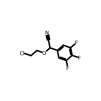 N#CC(OCCCl)c1cc(F)c(F)c(F)c1